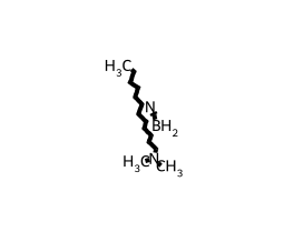 BC#N.CCCCCCCCCCCCN(C)C